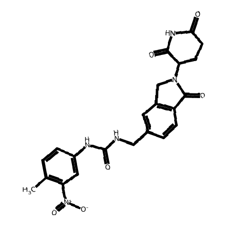 Cc1ccc(NC(=O)NCc2ccc3c(c2)CN(C2CCC(=O)NC2=O)C3=O)cc1[N+](=O)[O-]